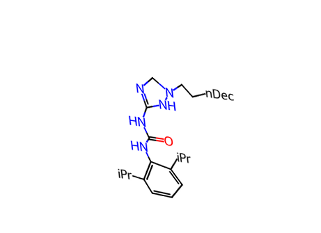 CCCCCCCCCCCCN1CN=C(NC(=O)Nc2c(C(C)C)cccc2C(C)C)N1